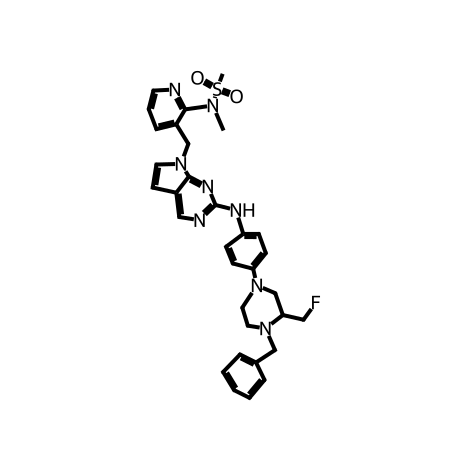 CN(c1ncccc1Cn1ccc2cnc(Nc3ccc(N4CCN(Cc5ccccc5)C(CF)C4)cc3)nc21)S(C)(=O)=O